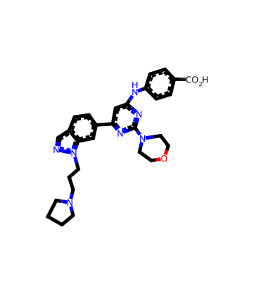 O=C(O)c1ccc(Nc2cc(-c3ccc4cnn(CCCN5CCCC5)c4c3)nc(N3CCOCC3)n2)cc1